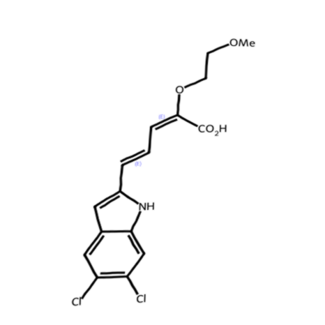 COCCO/C(=C/C=C/c1cc2cc(Cl)c(Cl)cc2[nH]1)C(=O)O